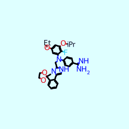 CCOc1cc(OC(C)C)c(F)c(N(Cc2nc(-c3ccccc3C3(C)OCCO3)c[nH]2)c2ccc(C(=N)N)cc2)c1